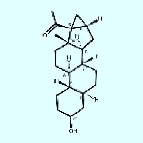 CC(=O)[C@@]12C[C@@H]1C[C@H]1[C@@H]3CC[C@H]4C[C@@H](O)CC[C@@H]4[C@H]3CC[C@@]12C